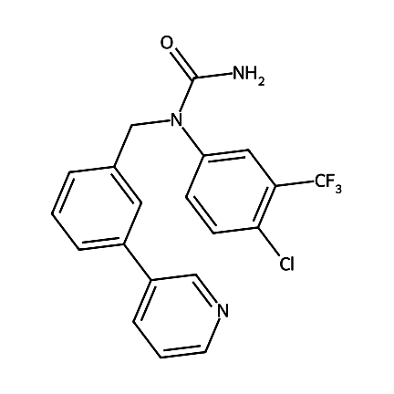 NC(=O)N(Cc1cccc(-c2cccnc2)c1)c1ccc(Cl)c(C(F)(F)F)c1